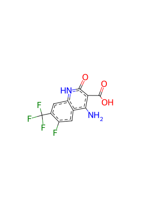 Nc1c(C(=O)O)c(=O)[nH]c2cc(C(F)(F)F)c(F)cc12